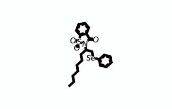 CCCCCCCC(C[Se]c1ccccc1)N1C(=O)c2ccccc2S1(=O)=O